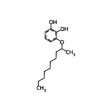 CCCCCCCCC(C)Oc1cccc(O)c1O